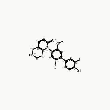 COc1cc(-c2ccc(Cl)c(C)c2)c(F)cc1-n1c2c(ccc1=O)CNCC2